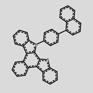 c1ccc2c(-c3ccc(-n4c5ccccc5c5c6ccccc6c6c7ccccc7sc6c54)cc3)cccc2c1